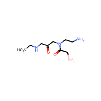 BCC(=O)N(CCN)CC(=O)CNCC(=O)O